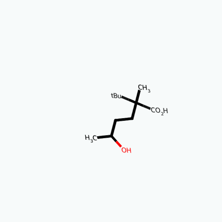 CC(O)CCC(C)(C(=O)O)C(C)(C)C